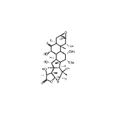 CC(=O)O[C@H]1C2C([C@@H]3[C@@H](O)[C@@H]4[C@H]([C@](C)(O)[C@H]5O[C@]56OC(=O)[C@@](C)(O)[C@]46C)[C@@]3(C)[C@H]1OC(C)=O)[C@@H](O)C(=O)[C@H]1C[C@@H]3O[C@@H]3[C@H](OC(C)=O)[C@]21C